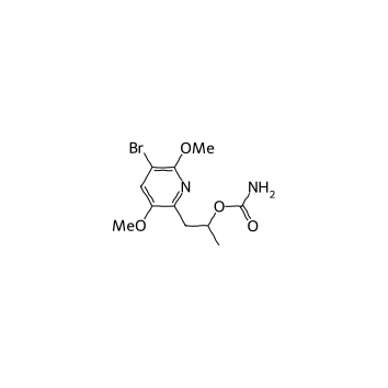 COc1cc(Br)c(OC)nc1CC(C)OC(N)=O